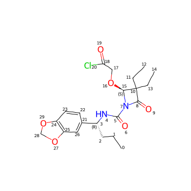 CCC[C@@H](NC(=O)N1C(=O)C(CC)(CC)[C@@H]1OCC(=O)Cl)c1ccc2c(c1)OCO2